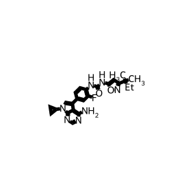 CCC(C)(C)c1cc(NC(=O)Nc2ccc(-c3cn(C4CC4)c4ncnc(N)c34)cc2F)on1